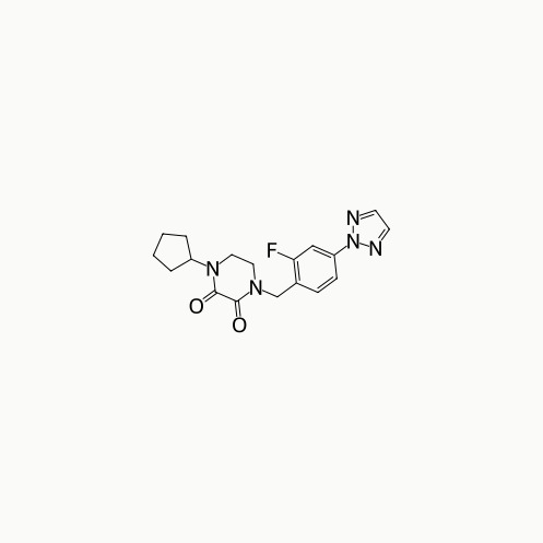 O=C1C(=O)N(C2CCCC2)CCN1Cc1ccc(-n2nccn2)cc1F